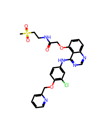 CS(=O)(=O)CCNC(=O)COc1cccc2ncnc(Nc3ccc(OCc4ccccn4)c(Cl)c3)c12